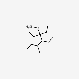 CCC(I)C(CC)C(CC)(CC)O[SiH3]